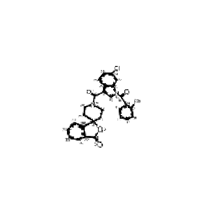 O=C1OC2(CCN(C(=O)c3cn(C(=O)c4ccccc4F)c4cc(Cl)ccc34)CC2)c2ccccc21